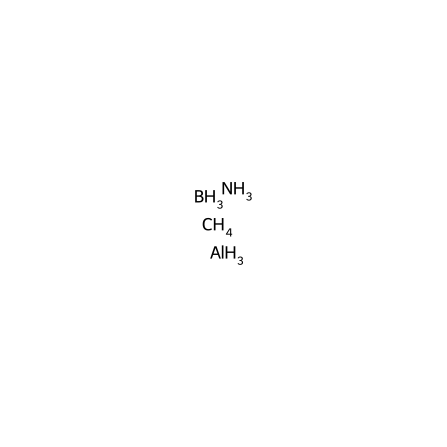 B.C.N.[AlH3]